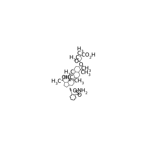 C=C(C)[C@@H]1CC[C@]2(C#Cc3ccccc3S(N)(=O)=O)CC[C@]3(C)C(CCC4[C@@]5(C)CC[C@H](OC(=O)CC(C)(C)C(=O)O)C(C)(C)C5CC[C@]43C)C12